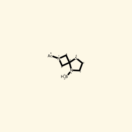 BN1CCSC12CN(C(C)=O)C2